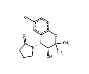 CC1(C)Oc2ccc(Cl)cc2[C@@H](N2CCCC2=O)[C@@H]1O